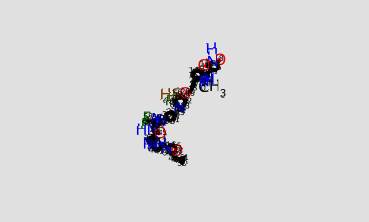 Cn1nc(C2CCC(=O)NC2=O)c2cccc(C#CCO[C@H]3CCN(C[C@H]4CC[C@H](n5cc(NC(=O)c6cnn7ccc(N8CCOC(CC9CC9)C8)nc67)c(C(F)F)n5)CC4)C[C@@H](F)C3S)c21